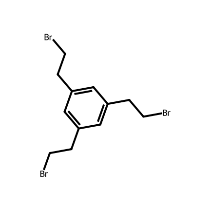 BrCCc1cc(CCBr)cc(CCBr)c1